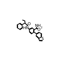 CCC(C(=O)Nc1ccc(-c2ccc3sccc3c2)c(C(N)=O)c1)c1ccccc1